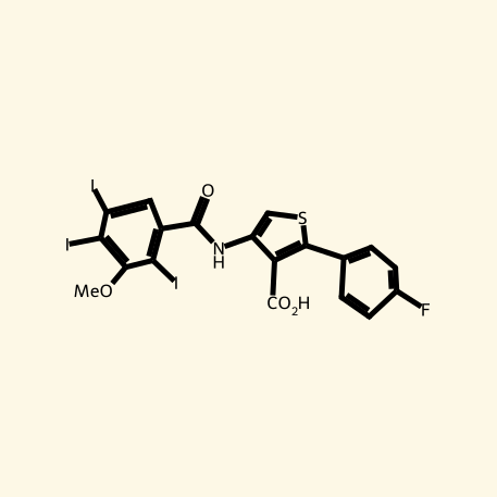 COc1c(I)c(I)cc(C(=O)Nc2csc(-c3ccc(F)cc3)c2C(=O)O)c1I